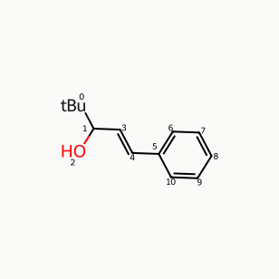 CC(C)(C)C(O)C=Cc1ccccc1